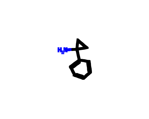 NC1(c2c[c]ccc2)CC1